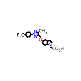 Cc1nn(-c2ccc(C(F)(F)F)cc2)nc1COc1ccc2c(ccn2CC(=O)O)c1